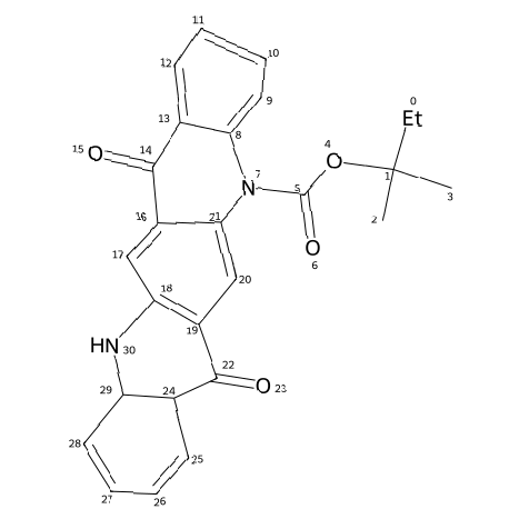 CCC(C)(C)OC(=O)n1c2ccccc2c(=O)c2cc3c(cc21)C(=O)C1C=CC=CC1N3